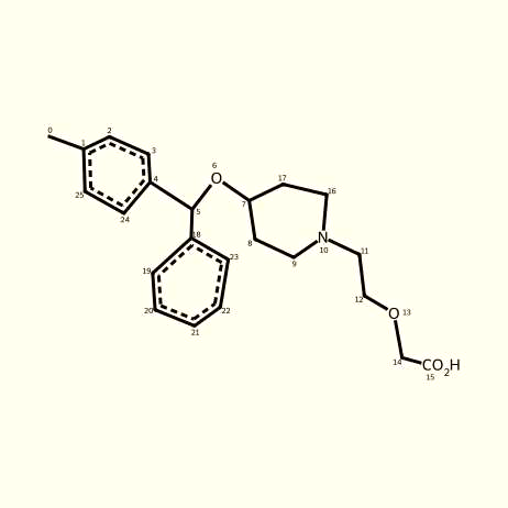 Cc1ccc(C(OC2CCN(CCOCC(=O)O)CC2)c2ccccc2)cc1